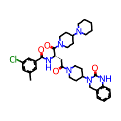 Cc1cc(Cl)cc(C(=O)N[C@@H](CC(=O)N2CCC(N3Cc4ccccc4NC3=O)CC2)C(=O)N2CCC(N3CCCCC3)CC2)c1